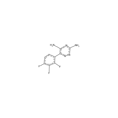 Nc1nnc(-c2ccc(F)c(F)c2F)c(N)n1